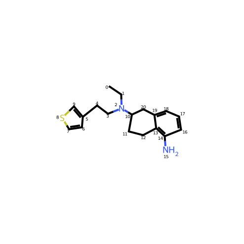 CCN(CCc1ccsc1)C1CCc2c(N)cccc2C1